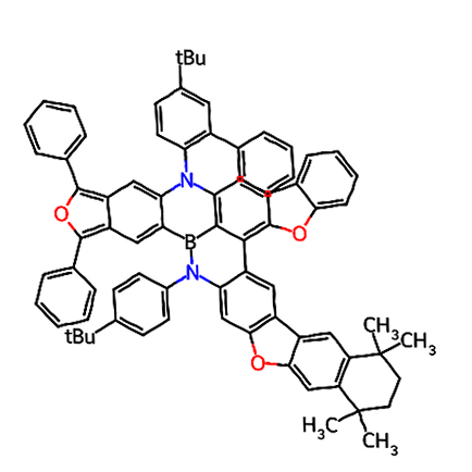 CC(C)(C)c1ccc(N2B3c4cc5c(-c6ccccc6)oc(-c6ccccc6)c5cc4N(c4ccc(C(C)(C)C)cc4-c4ccccc4)c4cc5c(oc6ccccc65)c(c43)-c3cc4c(cc32)oc2cc3c(cc24)C(C)(C)CCC3(C)C)cc1